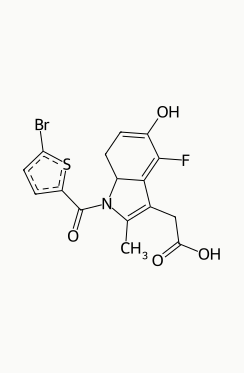 CC1=C(CC(=O)O)C2=C(F)C(O)=CCC2N1C(=O)c1ccc(Br)s1